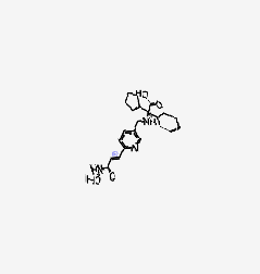 O=C(/C=C/c1ccc(CN[C@](C(=O)O)(C2CCCCC2)C2CCCC2)cn1)NO